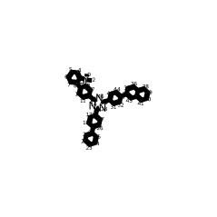 C[Si]1(C)c2ccccc2-c2ccc(-c3nc(-c4ccc(-c5ccccc5)cc4)nc(-c4ccc(-c5ccc6ccccc6c5)cc4)n3)cc21